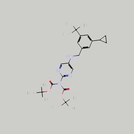 CC(C)(C)OC(=O)N(C(=O)OC(C)(C)C)c1ncc(NCc2cc(C3CC3)cc(C(C)(C)C)c2)cn1